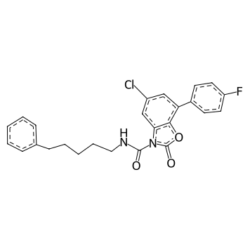 O=C(NCCCCCc1ccccc1)n1c(=O)oc2c(-c3ccc(F)cc3)cc(Cl)cc21